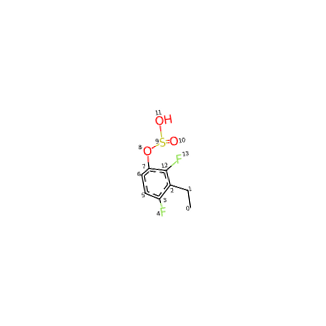 CCc1c(F)ccc(OS(=O)O)c1F